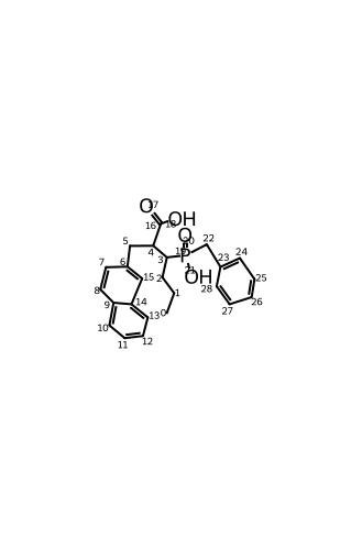 CCCC(C(Cc1ccc2ccccc2c1)C(=O)O)P(=O)(O)Cc1ccccc1